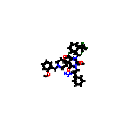 COc1ccccc1CN1CCC2(CC1)OCc1c2c(=O)n(C[C@H](N)c2ccccc2)c(=O)n1Cc1c(F)cccc1C(F)(F)F